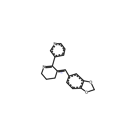 C(=C1/CCCN=C1c1cccnc1)/c1ccc2c(c1)OCO2